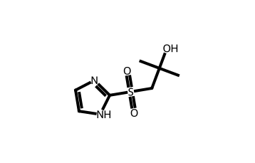 CC(C)(O)CS(=O)(=O)c1ncc[nH]1